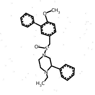 CCN1CCN([S+]([O-])Cc2ccc(OC)c(-c3ccccc3)c2)CC1c1ccccc1